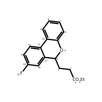 CCOC(=O)CCC1Oc2ccccc2-c2ccc(F)cc21